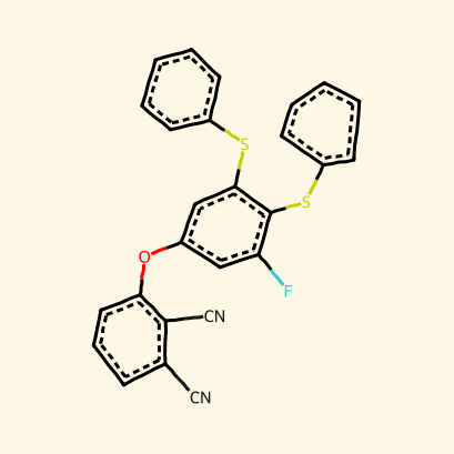 N#Cc1cccc(Oc2cc(F)c(Sc3ccccc3)c(Sc3ccccc3)c2)c1C#N